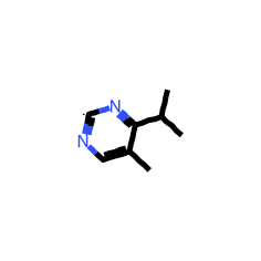 Cc1cn[c]nc1C(C)C